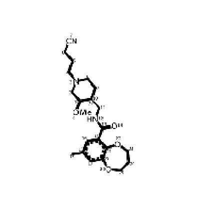 COC1CN(CCCC#N)CC[C@H]1CNC(=O)c1cc(C)cc2c1OCCCO2